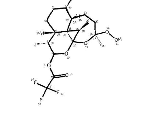 C[C@@H]1CC[C@H]2[C@@H](C)C(OC(=O)C(F)(F)F)OC34O[C@](C)(OO)CC[C@@H]1[C@@]23[C@H]4C